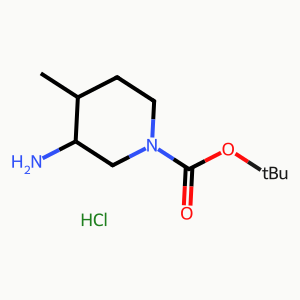 CC1CCN(C(=O)OC(C)(C)C)CC1N.Cl